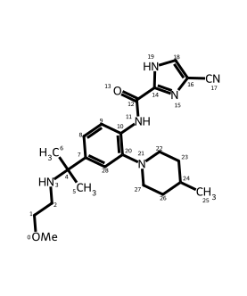 COCCNC(C)(C)c1ccc(NC(=O)c2nc(C#N)c[nH]2)c(N2CCC(C)CC2)c1